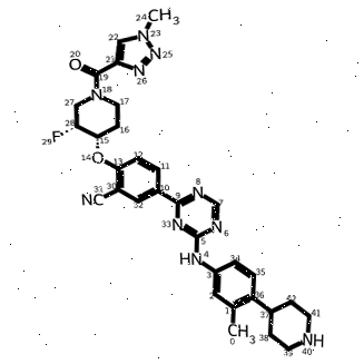 Cc1cc(Nc2ncnc(-c3ccc(O[C@H]4CCN(C(=O)c5cn(C)nn5)C[C@H]4F)c(C#N)c3)n2)ccc1C1CCNCC1